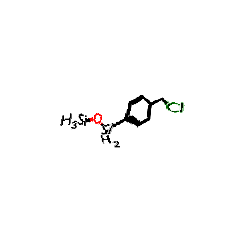 [SiH3]O[SiH2]c1ccc(CCl)cc1